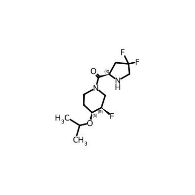 CC(C)O[C@H]1CCN(C(=O)[C@H]2CC(F)(F)CN2)C[C@H]1F